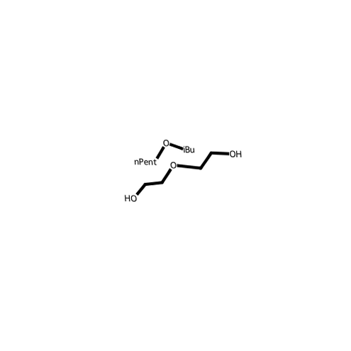 CCCCCOC(C)CC.OCCOCCO